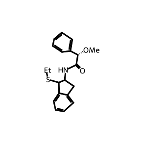 CCSC1c2ccccc2CC1NC(=O)[C@@H](OC)c1ccccc1